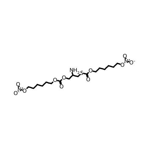 NC(COC(=O)OCCCCCCO[N+](=O)[O-])CSC(=O)OCCCCCCO[N+](=O)[O-]